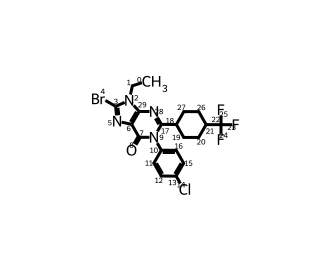 CCn1c(Br)nc2c(=O)n(-c3ccc(Cl)cc3)c(C3CCC(C(F)(F)F)CC3)nc21